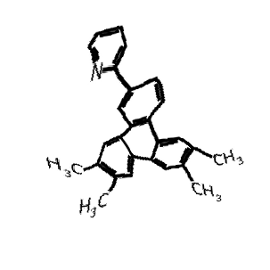 Cc1cc2c3ccc(-c4ccccn4)cc3c3cc(C)c(C)cc3c2cc1C